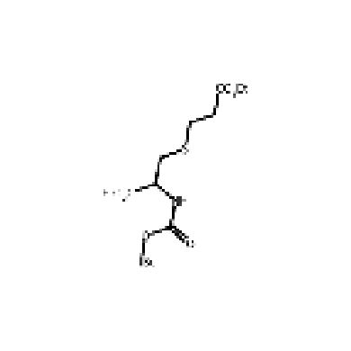 CCOC(=O)CCSCC(NC(=O)OC(C)(C)C)C(=O)OCC